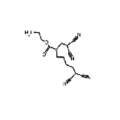 CCCOC(=O)C(CCCCC(C#N)C#N)CC(C#N)C#N